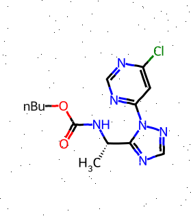 CCCCOC(=O)N[C@@H](C)c1ncnn1-c1cc(Cl)ncn1